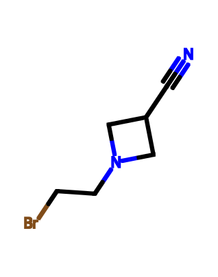 N#CC1CN(CCBr)C1